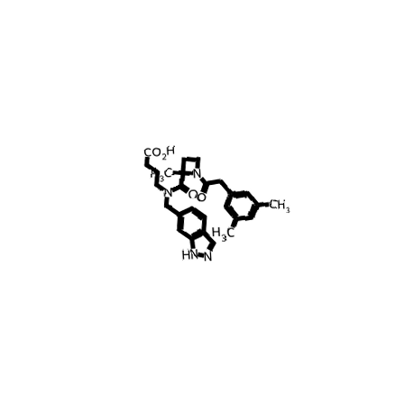 Cc1cc(C)cc(CC(=O)N2CCC2(C)C(=O)N(CCCC(=O)O)Cc2ccc3cn[nH]c3c2)c1